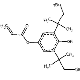 C=CC(=O)Oc1cc(C(C)(C)CC(C)(C)C)c(O)c(C(C)(C)CC(C)(C)C)c1